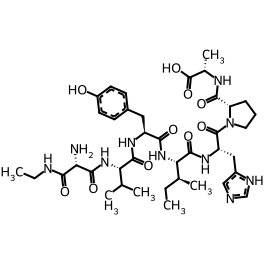 CCNC(=O)[C@H](N)C(=O)N[C@H](C(=O)N[C@@H](Cc1ccc(O)cc1)C(=O)N[C@H](C(=O)N[C@@H](Cc1cnc[nH]1)C(=O)N1CCC[C@H]1C(=O)N[C@@H](C)C(=O)O)[C@@H](C)CC)C(C)C